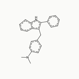 CN(C)c1ccc(Cc2c(-c3ccccc3)[nH]c3ccccc23)cc1